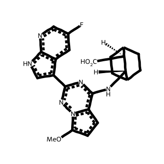 COc1ccc2c(N[C@H]3C4CCC(CC4)[C@@H]3C(=O)O)nc(-c3c[nH]c4ncc(F)cc34)nn12